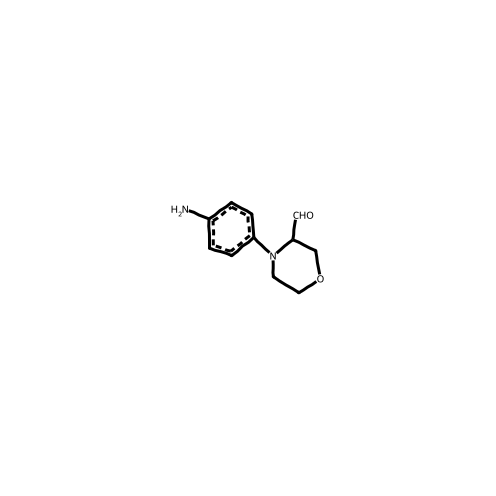 Nc1ccc(N2CCOCC2C=O)cc1